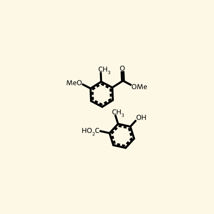 COC(=O)c1cccc(OC)c1C.Cc1c(O)cccc1C(=O)O